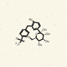 N#Cc1ccc([C@]2(O)O[C@H](CO)[C@@H](O)[C@H](O)[C@H]2O)cc1Cc1ccc(C(F)(F)C(F)(F)F)cc1